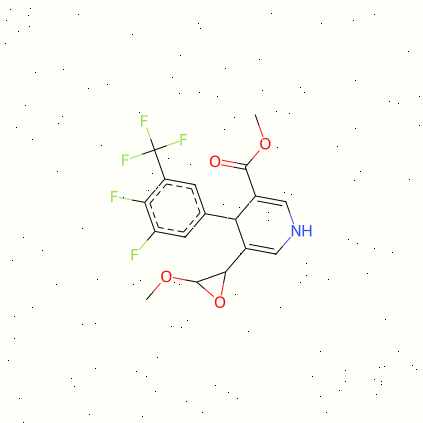 COC(=O)C1=CNC=C(C2OC2OC)C1c1cc(F)c(F)c(C(F)(F)F)c1